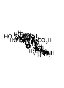 C[C@@H](O)[C@H](NC(=O)[C@H](Cc1ccccc1)NC(=O)[C@@H](NC(=O)[C@H](CCC(=O)O)NC(=O)CNC(=O)C(C)(C)NC(=O)[C@@H](N)Cc1c[nH]cn1)[C@@H](C)O)C(=O)N[C@@H](CO)C(=O)O